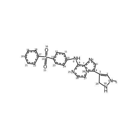 CN1C=C(c2cnc3c(Nc4ccc(S(=O)(=O)c5ccccc5)cc4)nccn23)CN1